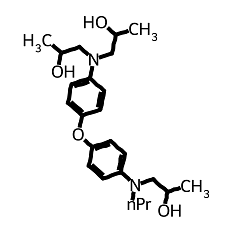 CCCN(CC(C)O)c1ccc(Oc2ccc(N(CC(C)O)CC(C)O)cc2)cc1